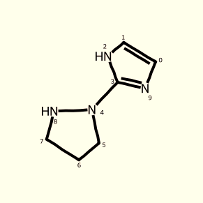 c1c[nH]c(N2CCCN2)n1